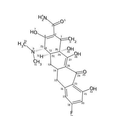 C=C1C(C(N)=O)=C(O)[C@@H](N(C)C)[C@@H]2CC3Cc4cc(F)cc(O)c4C(=O)C3=C(O)[C@]12O